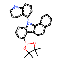 CC1(C)OB(c2cccc3c2c2ccc4ccccc4c2n3-c2cccc3ncccc23)OC1(C)C